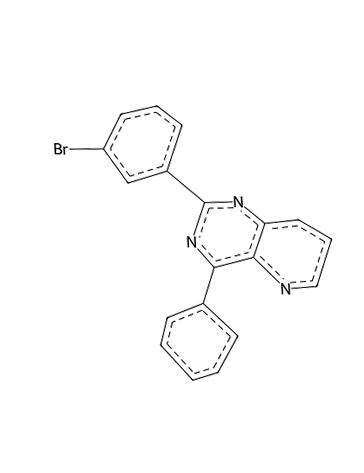 Brc1cccc(-c2nc(-c3ccccc3)c3ncccc3n2)c1